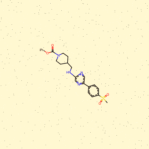 CC(C)OC(=O)N1CCC(CNc2cnc(-c3ccc(S(C)(=O)=O)cc3)cn2)CC1